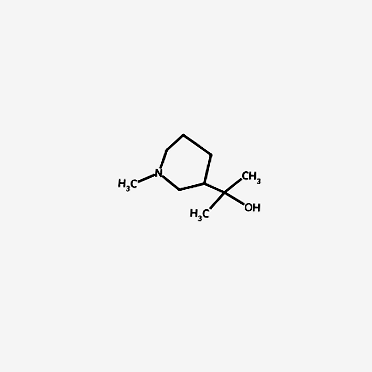 CN1CCCC(C(C)(C)O)C1